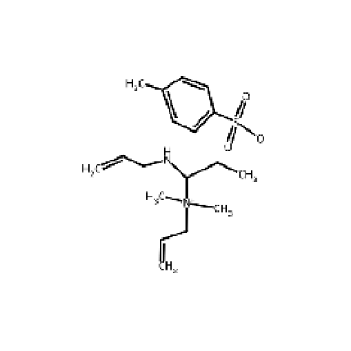 C=CCNC(CC)[N+](C)(C)CC=C.Cc1ccc(S(=O)(=O)[O-])cc1